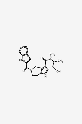 CC(CO)N(C)C(=O)c1n[nH]c2c1CN(C(=O)c1cc3ccccc3[nH]1)CC2